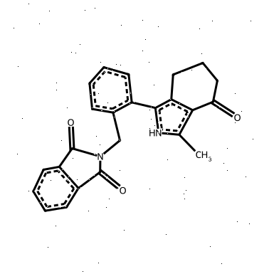 Cc1[nH]c(-c2ccccc2CN2C(=O)c3ccccc3C2=O)c2c1C(=O)CCC2